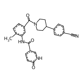 Cc1ccc(C(=O)N2CCC(c3ccc(C#N)cc3)CC2)cc1NC(=O)c1ccc(=O)[nH]c1